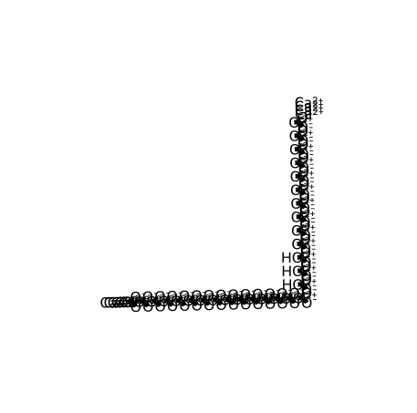 [Ca+2].[Ca+2].[Ca+2].[Ca+2].[Ca+2].[Ca+2].[Ca+2].[Ca+2].[Ca+2].[Ca+2].[O-][I+2]([O-])O.[O-][I+2]([O-])O.[O-][I+2]([O-])O.[O-][I+2]([O-])O.[O-][I+2]([O-])O.[O-][I+2]([O-])O.[O-][I+2]([O-])O.[O-][I+2]([O-])O.[O-][I+2]([O-])[O-].[O-][I+2]([O-])[O-].[O-][I+2]([O-])[O-].[O-][I+2]([O-])[O-].[O-][I+2]([O-])[O-].[O-][I+2]([O-])[O-].[O-][I+2]([O-])[O-].[O-][I+2]([O-])[O-].[O-][I+2]([O-])[O-].[O-][I+2]([O-])[O-].[O-][I+2]([O-])[O-].[O-][I+2]([O-])[O-].[O-][I+2]([O-])[O-].[O-][I+2]([O-])[O-].[O-][I+2]([O-])[O-].[O-][I+2]([O-])[O-].[O-][I+2]([O-])[O-].[O-][I+2]([O-])[O-].[O-][I+2]([O-])[O-].[O-][I+2]([O-])[O-]